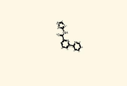 O=C(Nc1nncs1)c1cccc(-c2ccccn2)n1